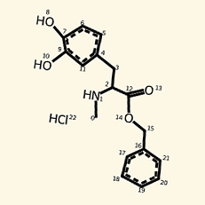 CNC(Cc1ccc(O)c(O)c1)C(=O)OCc1ccccc1.Cl